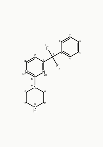 FC(F)(c1ccccc1)c1ccnc(N2CCNCC2)n1